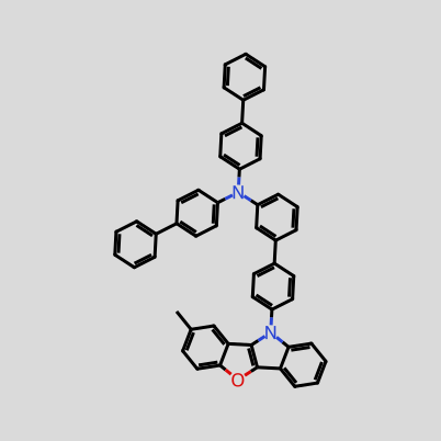 Cc1ccc2oc3c4ccccc4n(-c4ccc(-c5cccc(N(c6ccc(-c7ccccc7)cc6)c6ccc(-c7ccccc7)cc6)c5)cc4)c3c2c1